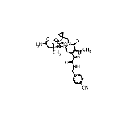 Cn1nc(C(=O)NCc2ccc(C#N)cc2)c2c1C(=O)N(CC1(S(=O)(=O)NC(C)(C)CC(N)=O)CC1)CC2